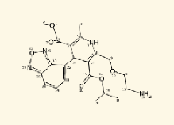 COC(=O)C1=C(C)NC(COCCN)=C(C(=O)OC(C)C)C1c1cccc2nonc12